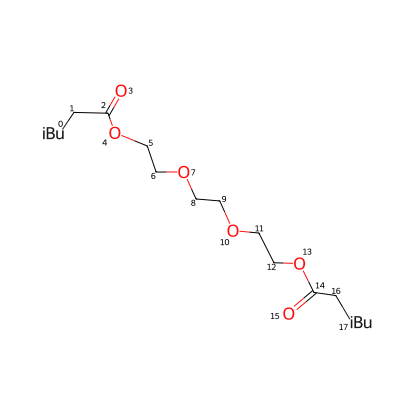 CCC(C)CC(=O)OCCOCCOCCOC(=O)CC(C)CC